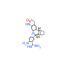 CN1c2cc3c(cc2[C@H]2C4CCC(C4)[C@H]2[C@]1(C)c1ccc(N)c(C(=N)N)c1)CCC(=O)N3